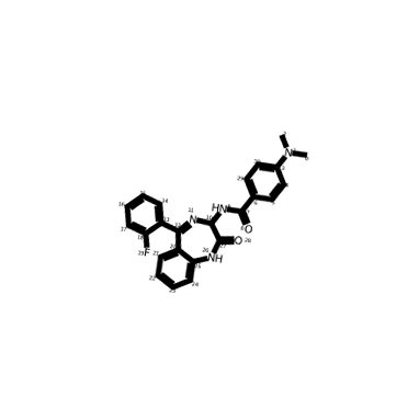 CN(C)c1ccc(C(=O)NC2N=C(c3ccccc3F)c3ccccc3NC2=O)cc1